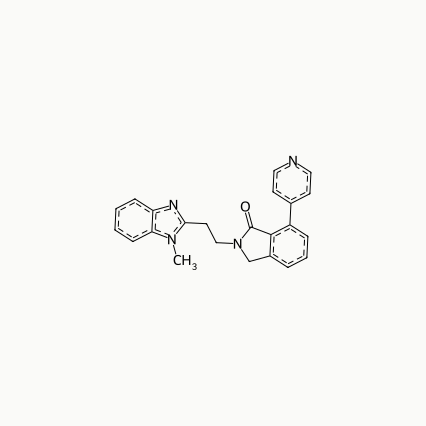 Cn1c(CCN2Cc3cccc(-c4ccncc4)c3C2=O)nc2ccccc21